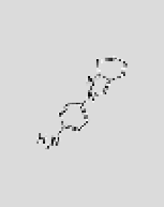 Nc1ccc(-n2cc3ccccc3n2)cc1